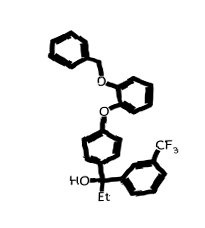 CCC(O)(c1ccc(Oc2ccccc2OCc2ccccc2)cc1)c1cccc(C(F)(F)F)c1